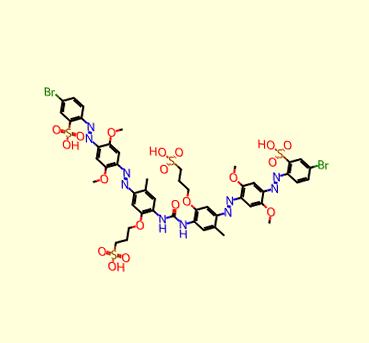 COc1cc(N=Nc2ccc(Br)cc2S(=O)(=O)O)c(OC)cc1N=Nc1cc(OCCCS(=O)(=O)O)c(NC(=O)Nc2cc(C)c(N=Nc3cc(OC)c(N=Nc4ccc(Br)cc4S(=O)(=O)O)cc3OC)cc2OCCCS(=O)(=O)O)cc1C